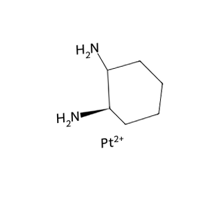 NC1CCCC[C@H]1N.[Pt+2]